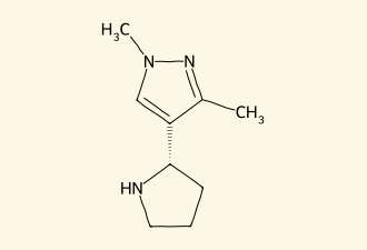 Cc1nn(C)cc1[C@@H]1CCCN1